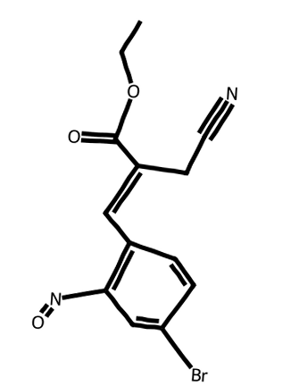 CCOC(=O)/C(=C/c1ccc(Br)cc1N=O)CC#N